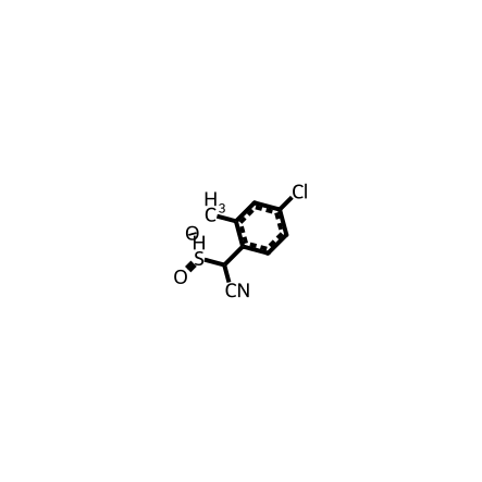 Cc1cc(Cl)ccc1C(C#N)[SH](=O)=O